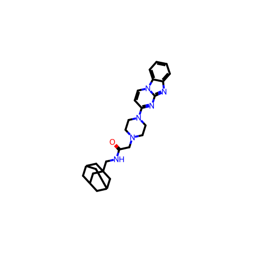 O=C(CN1CCN(c2ccn3c(n2)nc2ccccc23)CC1)NCC12CC3CC(CC(C3)C1)C2